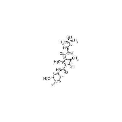 Cc1cc(NC(=O)c2c(C)c(C(=O)C(=O)NCC(C)(C)O)n(C)c2Cl)ccc1F